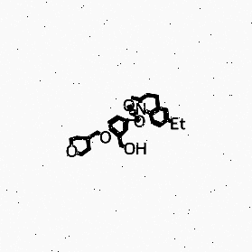 CCc1ccc2c(c1)CCC(C)N2S(=O)(=O)c1ccc(OCC2CCOCC2)c(CO)c1